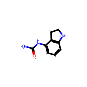 NC(=O)Nc1cccc2c1CCN2